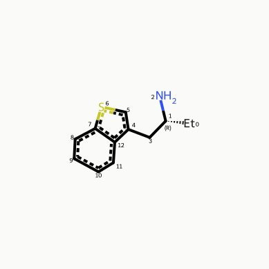 CC[C@@H](N)Cc1csc2ccccc12